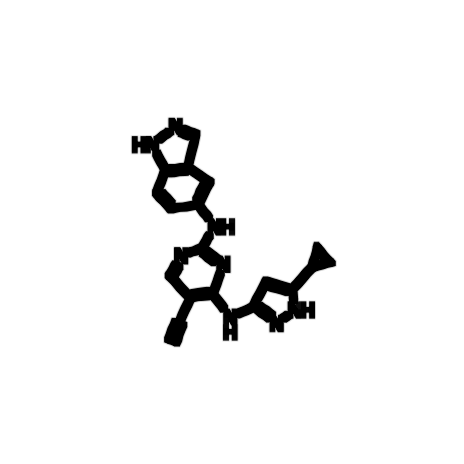 C#Cc1cnc(Nc2ccc3[nH]ncc3c2)nc1Nc1cc(C2CC2)[nH]n1